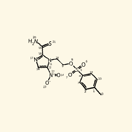 Cc1ccc(S(=O)(=O)OCCn2c([N+](=O)[O-])cnc2C(N)=S)cc1